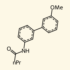 CCCC(=O)Nc1cccc(-c2cccc(OC)c2)c1